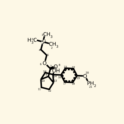 CS(C)(C)CCOC(=O)C1C2CCC1C(O)(c1ccc(OP)cc1)C2